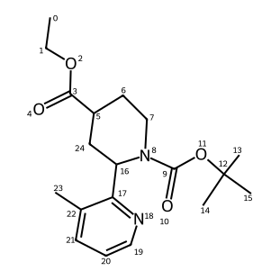 CCOC(=O)C1CCN(C(=O)OC(C)(C)C)C(c2ncccc2C)C1